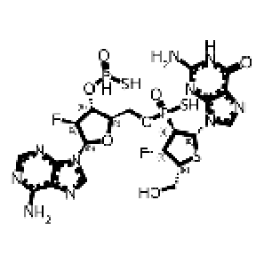 Nc1nc2c(ncn2[C@@H]2S[C@H](CO)[C@H](F)[C@H]2P(=O)(S)OC[C@H]2O[C@@H](n3cnc4c(N)ncnc43)[C@@H](F)[C@@H]2O[PH](=O)S)c(=O)[nH]1